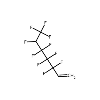 C=CC(F)(F)C(F)(F)C(F)(F)C(F)C(F)(F)F